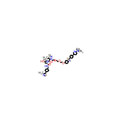 Cc1ncsc1-c1ccc(CNC(=O)[C@@H]2C[C@@H](O)CN2C(=O)C(NC(=O)COCCOCCOc2ccc3nc(-c4ccc(-c5ccc(N(C)C)nc5)cc4)sc3c2)C(C)(C)C)cc1